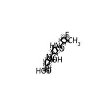 Cc1cc(C(=O)Nc2ccc(-c3nc4ccc([N+](=O)O)cc4n3O)cc2)ccc1F